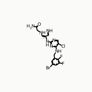 N=C/C(=C\NCC(N)=O)Nc1ncc(Cl)c(NCc2cc(Br)cc(F)c2F)n1